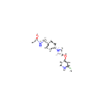 CC(=O)N[C@@H](C)c1ccc(N2CC(Oc3ccnc(F)c3)C2)cc1